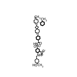 Cc1ccccc1[C@H]1CN(C)CCN1C1CC2(CCN(c3ccc(C(=O)NS(=O)(=O)c4ccc(NCC5CCC(C)(O)CC5)c([N+](=O)[O-])c4)cc3)CC2)C1